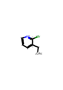 CC(=O)OCc1cccnc1Br